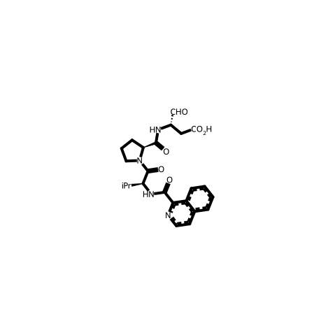 CC(C)[C@H](NC(=O)c1nccc2ccccc12)C(=O)N1CCC[C@H]1C(=O)N[C@H](C=O)CC(=O)O